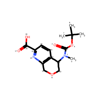 CN(C(=O)OC(C)(C)C)C1COCc2nc(C(=O)O)ccc21